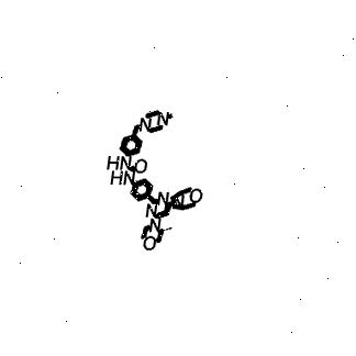 C[C@@H]1COCCN1c1cc(N2C3CCC2COC3)nc(-c2ccc(NC(=O)Nc3ccc(CN4CCN(C)CC4)cc3)cc2)n1